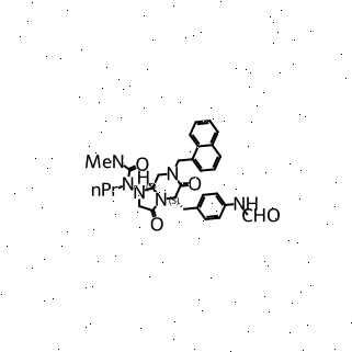 CCCN(C(=O)NC)N1CC(=O)N2[C@@H](Cc3ccc(NC=O)cc3)C(=O)N(Cc3cccc4ccccc34)C[C@@H]21